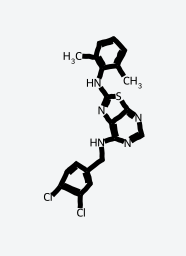 Cc1cccc(C)c1Nc1nc2c(NCc3ccc(Cl)c(Cl)c3)ncnc2s1